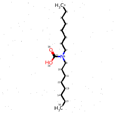 CCCCCCCCN(CCCCCCCC)C(=O)O